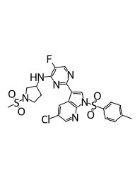 Cc1ccc(S(=O)(=O)n2cc(-c3ncc(F)c(NC4CCN(S(C)(=O)=O)C4)n3)c3cc(Cl)cnc32)cc1